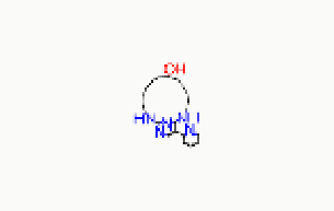 OC1CCCCCCNc2ncc(-c3ccccn3)c(n2)NCCCCC1